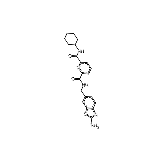 Nc1nc2ccc(CNC(=O)c3cccc(C(=O)NC4CCCCC4)n3)cc2s1